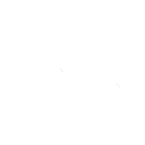 c1ccc(-c2ccc(-n3c4ccccc4c4cc5ccsc5cc43)cc2)nc1